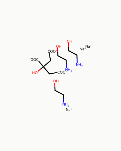 NCCO.NCCO.NCCO.O=C([O-])CC(O)(CC(=O)[O-])C(=O)[O-].[Na+].[Na+].[Na+]